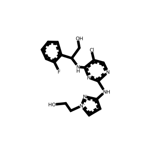 OCCn1ccc(Nc2ncc(Cl)c(NC(CO)c3ccccc3F)n2)n1